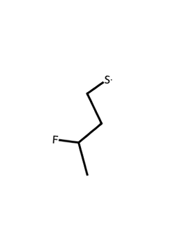 CC(F)CC[S]